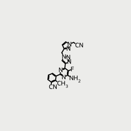 Cc1c(C#N)cccc1-c1nc(N)c(F)c(-c2cn(Cc3ccn(CC#N)n3)nn2)n1